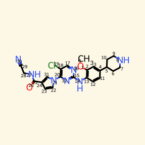 COc1cc(C2CCNCC2)ccc1Nc1ncc(Cl)c(-n2ccc(C(=O)NCC#N)c2)n1